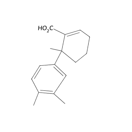 Cc1ccc(C2(C)CCCC=C2C(=O)O)cc1C